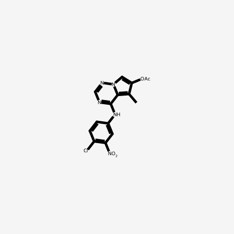 CC(=O)Oc1cn2ncnc(Nc3ccc(Cl)c([N+](=O)[O-])c3)c2c1C